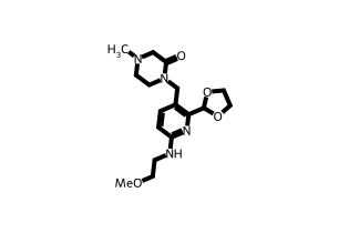 COCCNc1ccc(CN2CCN(C)CC2=O)c(C2OCCO2)n1